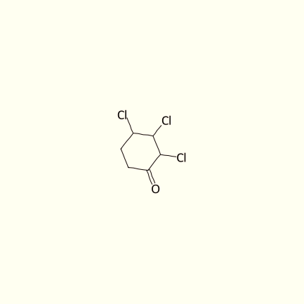 O=C1CCC(Cl)C(Cl)C1Cl